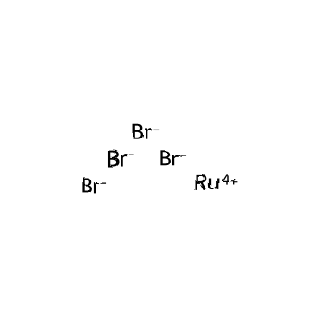 [Br-].[Br-].[Br-].[Br-].[Ru+4]